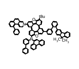 CC(C)(C)c1ccc2c3cc(-c4cccc(-c5ccccc5-c5ccc6c(c5)-c5ccccc5C6(C)C)c4)cc4oc5c(N(c6cccc(-c7ccccc7)c6)c6cc7ccccc7c7ccccc67)ccc(c6cc(N7C=c8ccc9cccc(-c%10ccccc%10)c9c8=CC7)cc7oc1c2c76)c5c43